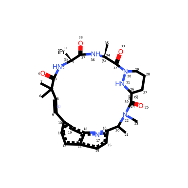 CC(C)[C@@H]1NC(=O)C(C)(C)/C=C/c2ccc3ccc(nc3c2)C(C)N(C)C(=O)[C@@H]2CCCN(N2)C(=O)[C@H](C)NC1=O